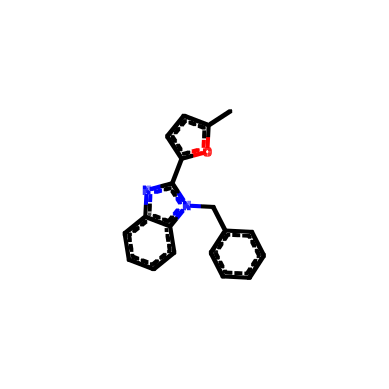 Cc1ccc(-c2nc3ccccc3n2Cc2ccccc2)o1